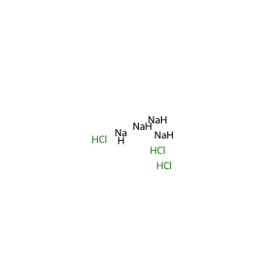 Cl.Cl.Cl.[NaH].[NaH].[NaH].[NaH]